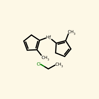 CC1=[C]([Hf][C]2=C(C)C=CC2)CC=C1.CCCl